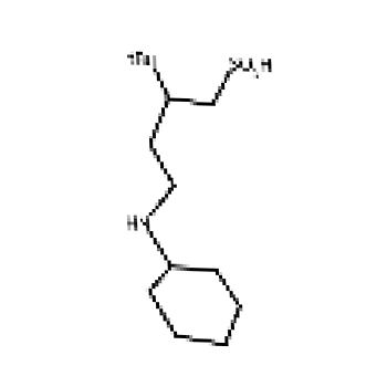 CC(C)(C)C(CCNC1CCCCC1)CS(=O)(=O)O